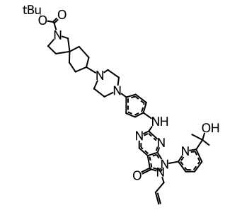 C=CCn1c(=O)c2cnc(Nc3ccc(N4CCN(C5CCC6(CC5)CCN(C(=O)OC(C)(C)C)C6)CC4)cc3)nc2n1-c1cccc(C(C)(C)O)n1